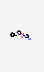 N[C@@H]1CCN(C(=O)OC2CCCN(Cc3ccccc3)C2)C1